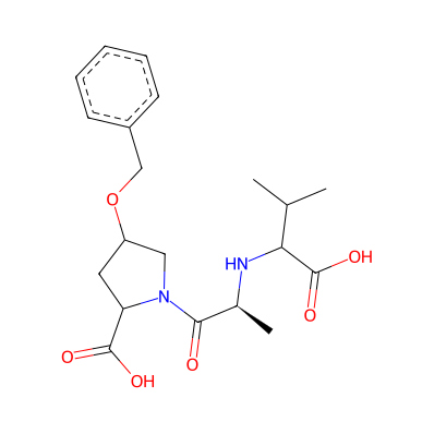 CC(C)C(N[C@@H](C)C(=O)N1CC(OCc2ccccc2)CC1C(=O)O)C(=O)O